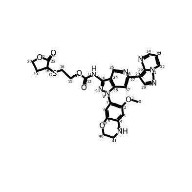 COc1cc2c(cc1-n1nc(NC(=O)OCCSC3CCOC3=O)c3cnc(-c4cnn5cccnc45)cc31)OCCN2